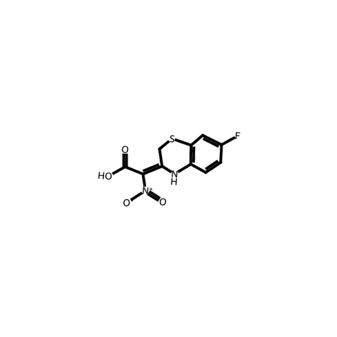 O=C(O)C(=C1CSc2cc(F)ccc2N1)[N+](=O)[O-]